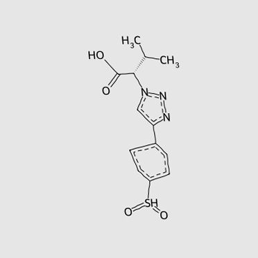 CC(C)[C@@H](C(=O)O)n1cc(-c2ccc([SH](=O)=O)cc2)nn1